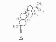 C=C(C)[C@H]1CC[C@H]2[C@@H]3CC[C@H]4C[C@@](O)(C#CC5CC5)CC[C@@H]4[C@H]3CC[C@]12C